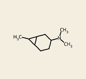 CC1C2CCC(N(C)C)CC12